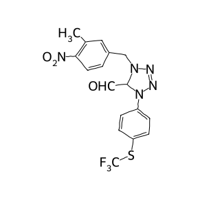 Cc1cc(CN2N=NN(c3ccc(SC(F)(F)F)cc3)C2C=O)ccc1[N+](=O)[O-]